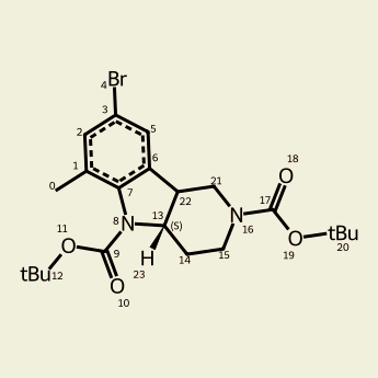 Cc1cc(Br)cc2c1N(C(=O)OC(C)(C)C)[C@H]1CCN(C(=O)OC(C)(C)C)CC21